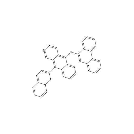 C1=CC2=CC=C(c3c4ccccc4c(Oc4cc5ccccc5c5ccccc45)c4ccncc34)CC2C=C1